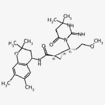 COCC[C@H]([C@@H]1C[C@H]1C(=O)NC1CC(C)(C)Oc2cc(C)c(C)cc21)N1C(=N)NC(C)(C)CC1=O